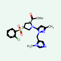 COC(=O)[C@@H]1C[C@@H](S(=O)(=O)c2ccccc2Cl)CN1c1cc(C)nn1Cc1cncn1C